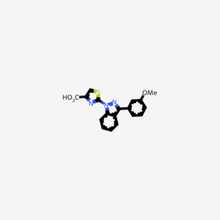 COc1cccc(-c2nn(-c3nc(C(=O)O)cs3)c3ccccc23)c1